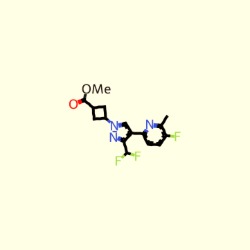 COC(=O)C1CC(n2cc(-c3ccc(F)c(C)n3)c(C(F)F)n2)C1